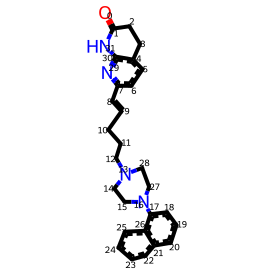 O=C1CCc2ccc(/C=C/CCCN3CCN(c4cccc5ccccc45)CC3)nc2N1